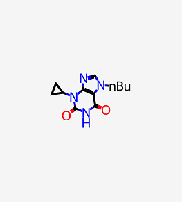 CCCCn1cnc2c1c(=O)[nH]c(=O)n2C1CC1